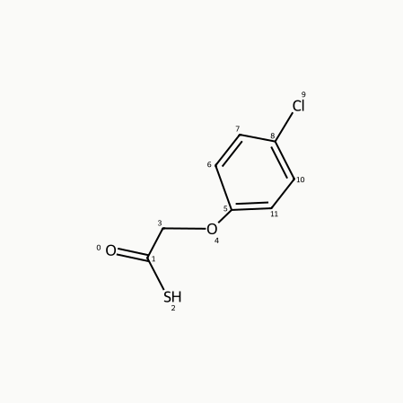 O=C(S)COc1ccc(Cl)cc1